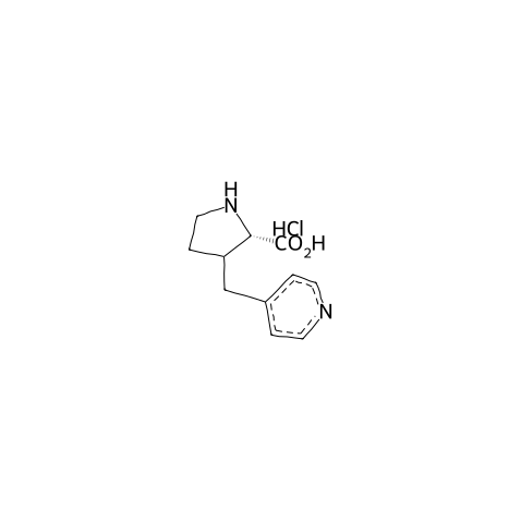 Cl.O=C(O)[C@H]1NCCC1Cc1ccncc1